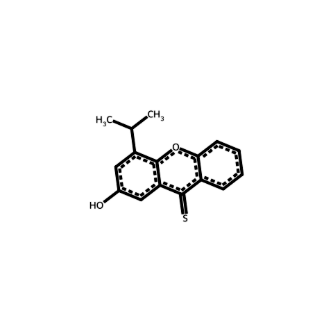 CC(C)c1cc(O)cc2c(=S)c3ccccc3oc12